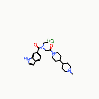 CCN(CC(=O)N1CCC(C2CCN(C)CC2)CC1)C(=O)c1ccc2cc[nH]c2c1.Cl